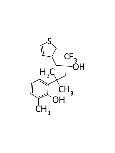 Cc1cccc(C(C)(C)CC(O)(CC2C=CSC2)C(F)(F)F)c1O